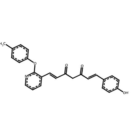 Cc1ccc(Oc2ncccc2C=CC(=O)CC(=O)C=Cc2ccc(O)cc2)cc1